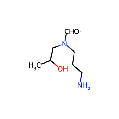 CC(O)CN([C]=O)CCCN